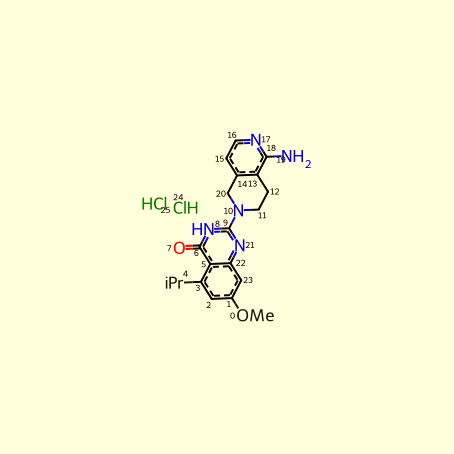 COc1cc(C(C)C)c2c(=O)[nH]c(N3CCc4c(ccnc4N)C3)nc2c1.Cl.Cl